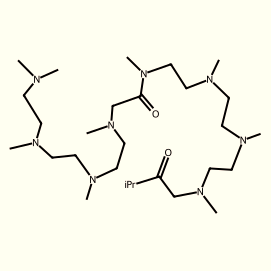 CC(C)C(=O)CN(C)CCN(C)CCN(C)CCN(C)C(=O)CN(C)CCN(C)CCN(C)CCN(C)C